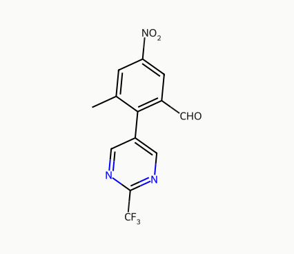 Cc1cc([N+](=O)[O-])cc(C=O)c1-c1cnc(C(F)(F)F)nc1